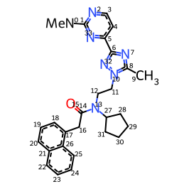 CNc1nccc(-c2nc(C)n(CCN(C(=O)Cc3cccc4ccccc34)C3CCCC3)n2)n1